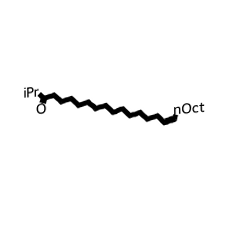 CCCCCCCC/C=C\CCCCCCCCCCCCCC(=O)C(C)C